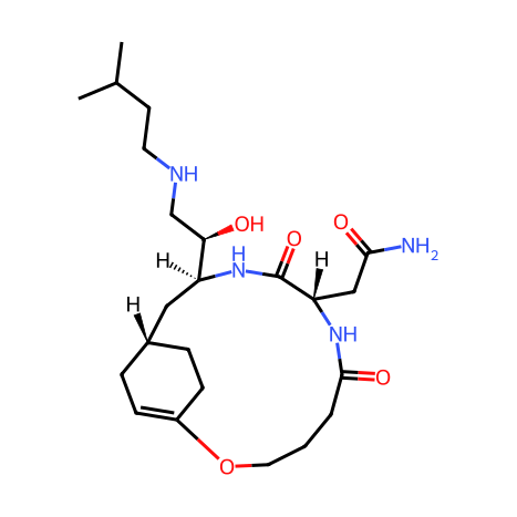 CC(C)CCNC[C@@H](O)[C@@H]1C[C@H]2CC=C(CC2)OCCCC(=O)N[C@@H](CC(N)=O)C(=O)N1